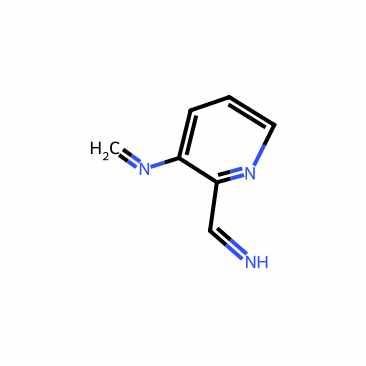 C=Nc1cccnc1C=N